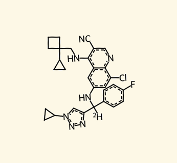 [2H]C(Nc1cc(Cl)c2ncc(C#N)c(NCC3(C4CC4)CCC3)c2c1)(c1ccc(F)cc1)c1cn(C2CC2)nn1